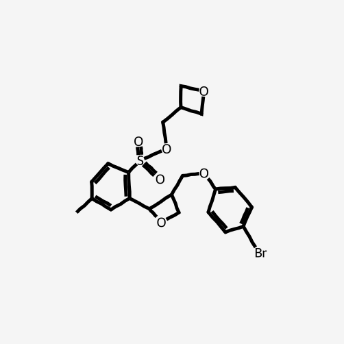 Cc1ccc(S(=O)(=O)OCC2COC2)c(C2OCC2COc2ccc(Br)cc2)c1